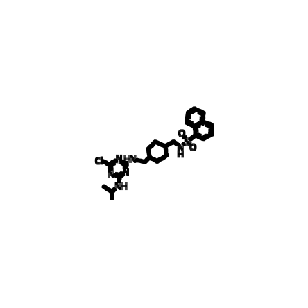 CC(C)Nc1nc(Cl)nc(NCC2CCC(CNS(=O)(=O)c3cccc4ccccc34)CC2)n1